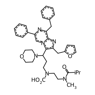 CC(C)C(=O)N(C)CCN(CCC(c1c(Cc2ccco2)nc2c(Cc3ccccc3)nc(-c3ccccc3)cn12)N1CCOCC1)C(=O)O